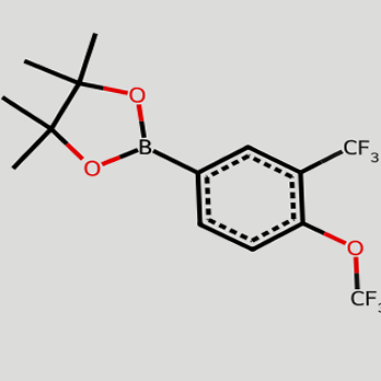 CC1(C)OB(c2ccc(OC(F)(F)F)c(C(F)(F)F)c2)OC1(C)C